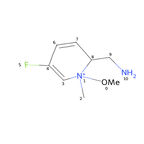 CO[N+]1(C)C=C(F)C=CC1CN